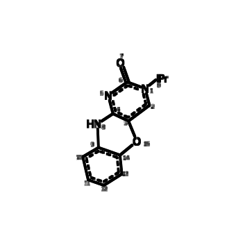 CC(C)n1cc2c(nc1=O)Nc1ccccc1O2